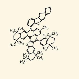 Cc1cc2c3c(c1)N(c1cccc4c1oc1cc5ccccc5cc14)c1cc4c(cc1B3c1sc3cc5c(cc3c1N2c1ccc2c(c1)C(C)(C)CCC2(C)C)C(C)(C)CCC5(C)C)C(C)(C)CCC4(C)C